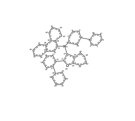 c1ccc(-c2cccc(N(c3c(-c4ccccc4-c4ccccc4)oc4ccccc34)c3cc4ccccc4c4ccccc34)c2)cc1